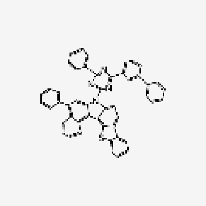 c1ccc(-c2cccc(-c3nc(-c4ccccc4)nc(-n4c5cc(-c6ccccc6)c6ccccc6c5c5c6sc7ccccc7c6ccc54)n3)c2)cc1